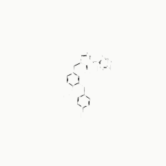 COc1ccc(/C=C2\C(=O)N(c3nnn[nH]3)N=C2O)cc1Cc1ccc(F)cc1